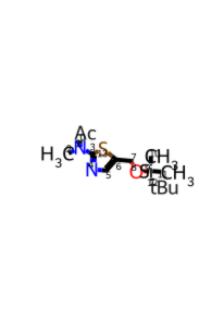 CC(=O)N(C)c1ncc(CO[Si](C)(C)C(C)(C)C)s1